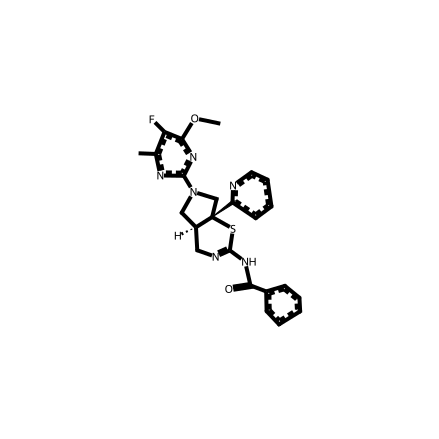 COc1nc(N2C[C@@H]3CN=C(NC(=O)c4ccccc4)S[C@@]3(c3ccccn3)C2)nc(C)c1F